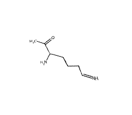 CC(=O)C(N)CCCC=N